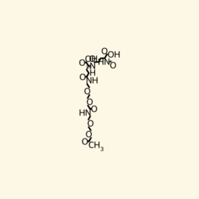 CC(=O)COCCOCCNC(=O)COCCOCCNC(=O)CC[C@H](NC(=O)CCC(NC=O)C(=O)O)C(=O)O